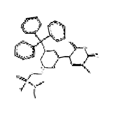 CC1=CC(C2CN(C(c3ccccc3)(c3ccccc3)c3ccccc3)C[C@@H](COP(=O)(Cl)N(C)C)O2)C(=O)NC1=O